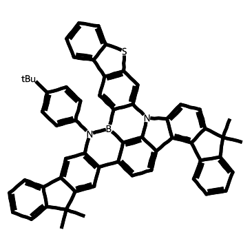 CC(C)(C)c1ccc(N2B3c4cc5c(cc4-n4c6ccc7c(c6c6ccc(c3c64)-c3cc4c(cc32)-c2ccccc2C4(C)C)-c2ccccc2C7(C)C)sc2ccccc25)cc1